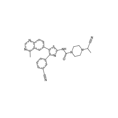 Cc1ncnc2ccc(-c3sc(NC(=O)N4CCN(C(C)C#N)CC4)nc3-c3cccc(C#N)c3)cc12